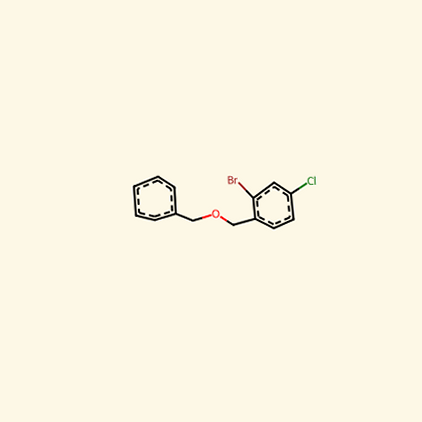 Clc1ccc(COCc2ccccc2)c(Br)c1